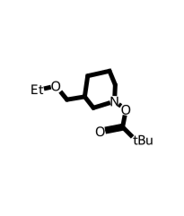 CCOCC1CCCN(OC(=O)C(C)(C)C)C1